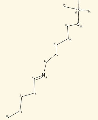 CCCC/C=N/CCCCCS[Si](C)(C)C